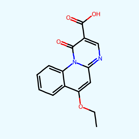 CCOc1cc2ncc(C(=O)O)c(=O)n2c2ccccc12